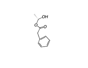 C[C@H](O)OC(=O)Cc1ccccc1